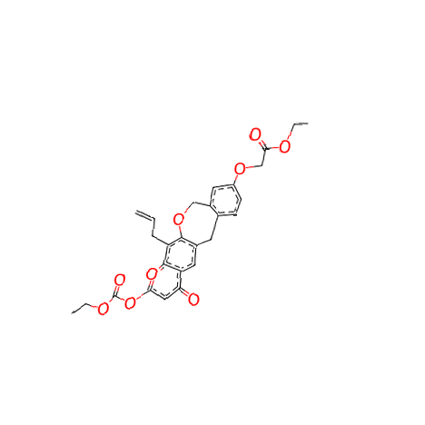 C=CCc1c2c(cc3c(=O)cc(OC(=O)OCC)oc13)Cc1ccc(OCC(=O)OCC)cc1CO2